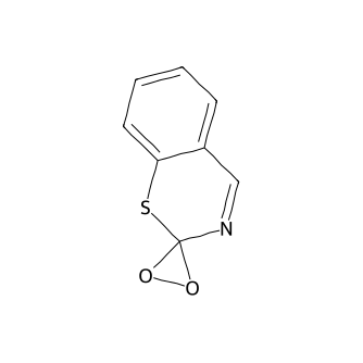 C1=NC2(OO2)Sc2ccccc21